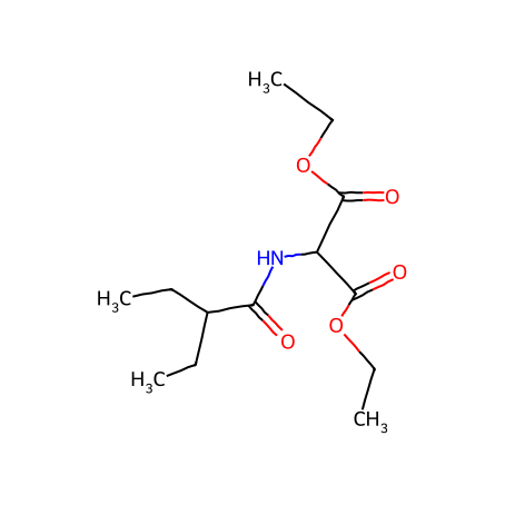 CCOC(=O)C(NC(=O)C(CC)CC)C(=O)OCC